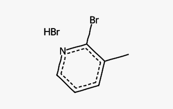 Br.Cc1cccnc1Br